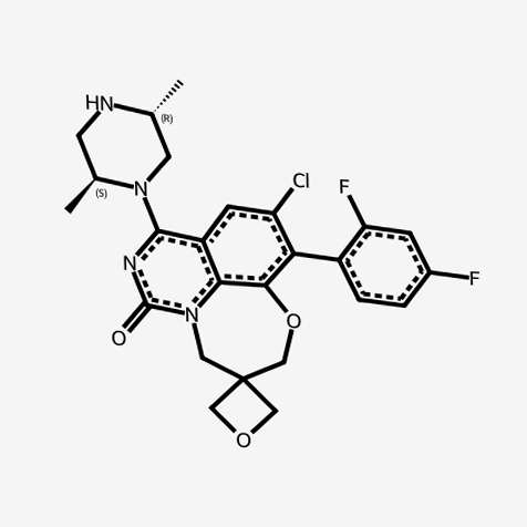 C[C@@H]1CN(c2nc(=O)n3c4c(c(-c5ccc(F)cc5F)c(Cl)cc24)OCC2(COC2)C3)[C@@H](C)CN1